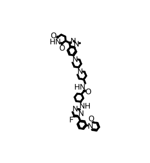 Cn1nc(C2CCC(=O)NC2=O)c2ccc(N3CCC(N4CCC(CNC(=O)C5CCCC(Nc6ncc(F)c(-c7cccc(-n8ccccc8=O)c7)n6)C5)CC4)CC3)cc21